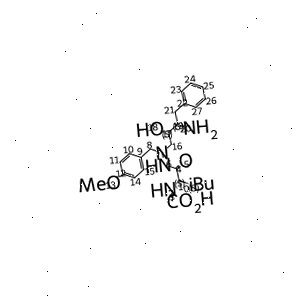 CC[C@H](C)[C@H](NC(=O)O)C(=O)NN(Cc1ccc(OC)cc1)C[C@H](O)[C@@H](N)Cc1ccccc1